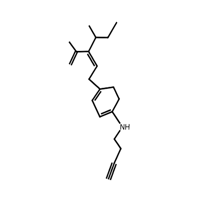 C#CCCNC1=CC=C(C/C=C(\C(=C)C)C(C)CC)CC1